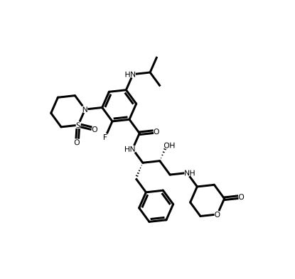 CC(C)Nc1cc(C(=O)N[C@@H](Cc2ccccc2)[C@H](O)CNC2CCOC(=O)C2)c(F)c(N2CCCCS2(=O)=O)c1